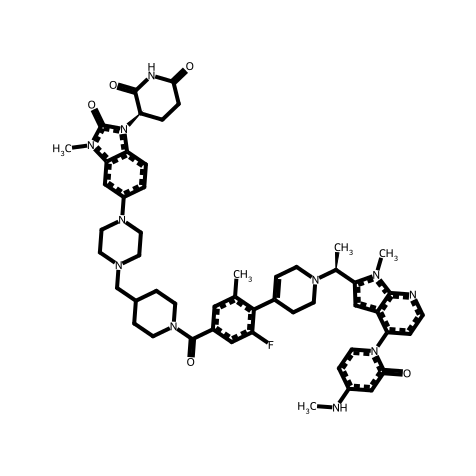 CNc1ccn(-c2ccnc3c2cc([C@H](C)N2CC=C(c4c(C)cc(C(=O)N5CCC(CN6CCN(c7ccc8c(c7)n(C)c(=O)n8[C@@H]7CCC(=O)NC7=O)CC6)CC5)cc4F)CC2)n3C)c(=O)c1